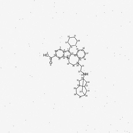 O=C(O)c1ccc2c(C3CCCCC3)c3n(c2c1)CCN(CCNC12CC4CCCC(C1)C(C4)C2)c1ccccc1-3